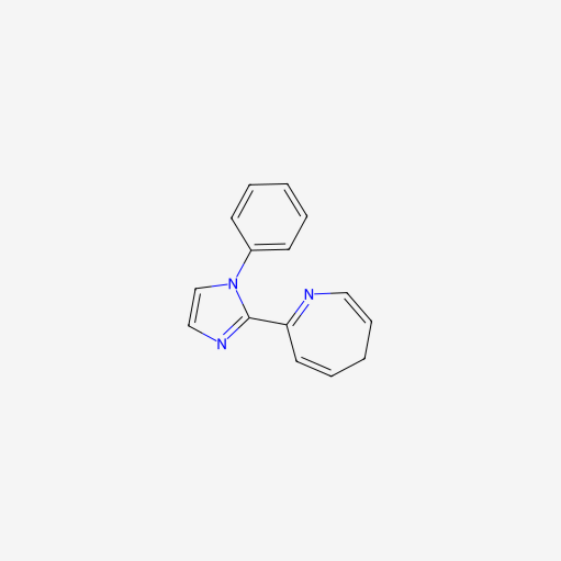 C1=CN=C(c2nccn2-c2ccccc2)C=CC1